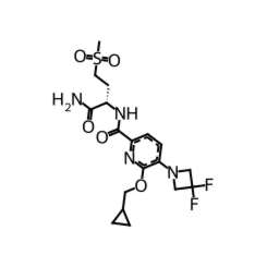 CS(=O)(=O)CC[C@H](NC(=O)c1ccc(N2CC(F)(F)C2)c(OCC2CC2)n1)C(N)=O